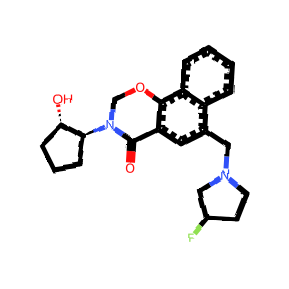 O=C1c2cc(CN3CCC(F)C3)c3ccccc3c2OCN1[C@H]1CCC[C@@H]1O